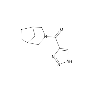 O=C(c1c[nH]nn1)N1CC2CCC(C2)C1